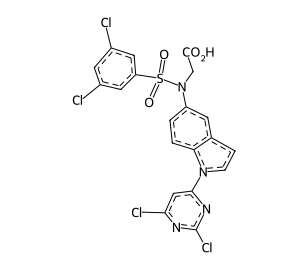 O=C(O)CN(c1ccc2c(ccn2-c2cc(Cl)nc(Cl)n2)c1)S(=O)(=O)c1cc(Cl)cc(Cl)c1